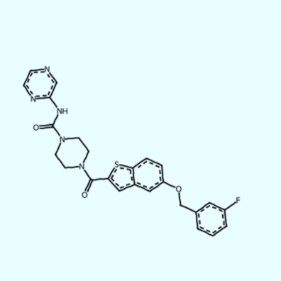 O=C(Nc1cnccn1)N1CCN(C(=O)c2cc3cc(OCc4cccc(F)c4)ccc3s2)CC1